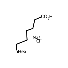 CCCCCCCCCCCC(=O)O.[Cl-].[Na+]